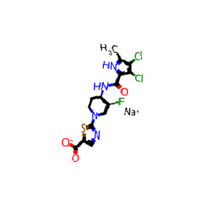 Cc1[nH]c(C(=O)N[C@@H]2CCN(c3ncc(C(=O)[O-])s3)C[C@@H]2F)c(Cl)c1Cl.[Na+]